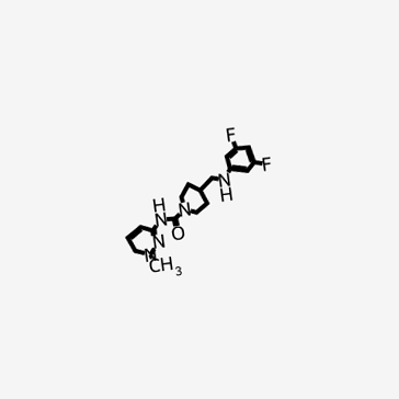 CN1CC=CC(NC(=O)N2CCC(CNc3cc(F)cc(F)c3)CC2)=N1